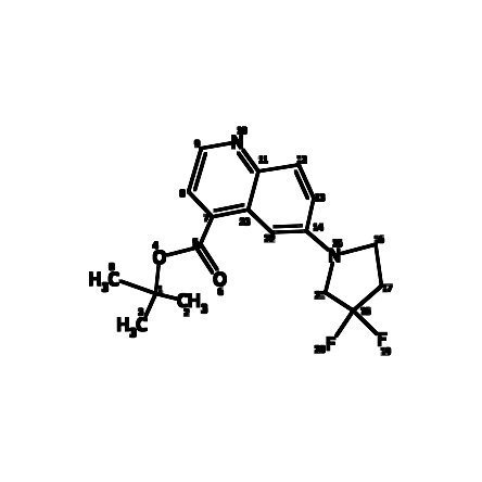 CC(C)(C)OC(=O)c1ccnc2ccc(N3CCC(F)(F)C3)cc12